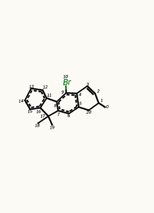 CC1C=Cc2c(cc3c(c2Br)-c2ccccc2C3(C)C)C1